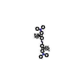 C[Si]1(C)c2cc(/C=C/c3ccc4c(c3)[Si](C)(C)c3cc(N(c5ccccc5)c5ccccc5)ccc3-4)ccc2-c2ccc(N(c3ccccc3)c3ccccc3)cc21